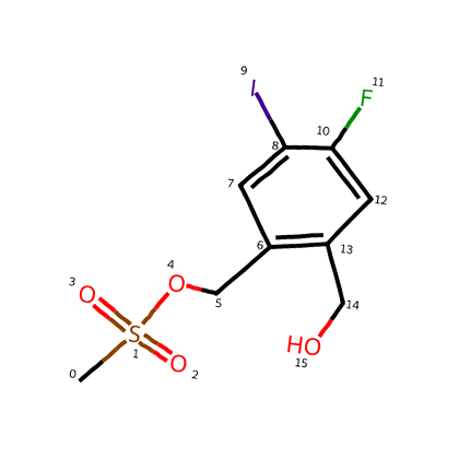 CS(=O)(=O)OCc1cc(I)c(F)cc1CO